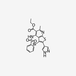 CCOC(=O)c1c(C)nc2sc(-c3cn[nH]c3)c(Br)c2c1NS(=O)(=O)c1ccccc1